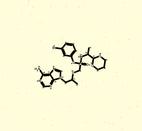 CCc1cccc(OP(=O)(COC(C)Cn2cnc3c(N)ncnc32)NC(C)C2OCCCO2)c1